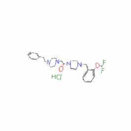 Cl.O=C(CN1CCN(CCc2ccccc2)CC1)N1CCN(Cc2ccccc2OC(F)F)CC1